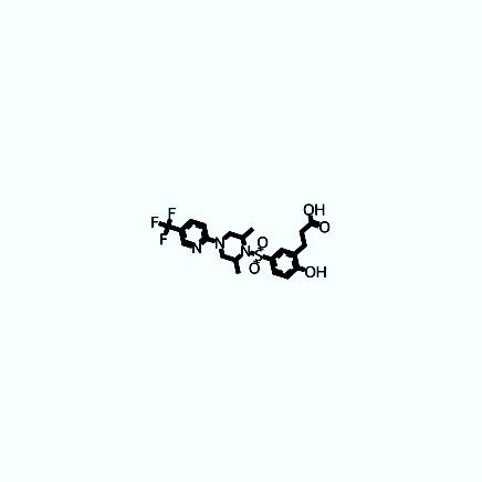 CC1CN(c2ccc(C(F)(F)F)cn2)CC(C)N1S(=O)(=O)c1ccc(O)c(CCC(=O)O)c1